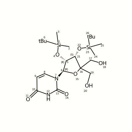 CC(C)(C)[Si](C)(C)O[C@H]1[C@H](n2ccc(=O)[nH]c2=O)OC(CO)(CO)[C@H]1O[Si](C)(C)C(C)(C)C